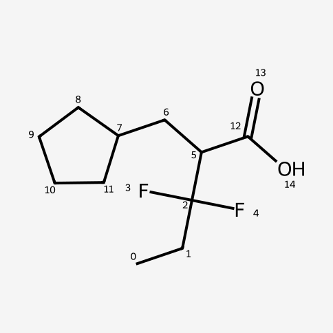 CCC(F)(F)C(CC1CCCC1)C(=O)O